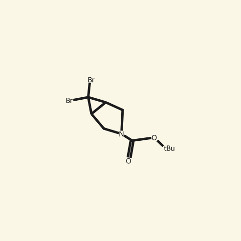 CC(C)(C)OC(=O)N1CC2C(C1)C2(Br)Br